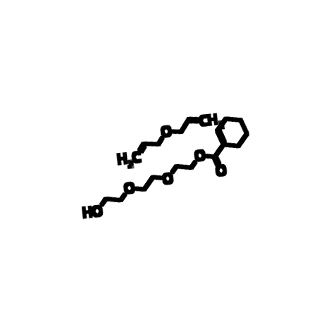 C=CCOCC=C.O=C(OCCOCCOCCO)C1=CCCCC1